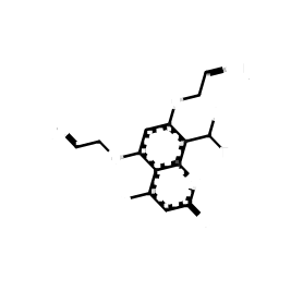 C=CCOc1cc(OCC=C)c2c(CCC)cc(=O)oc2c1C(O)CC